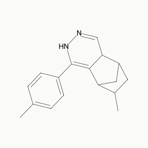 Cc1ccc(C2=C3C(C=NN2)C2CC(C)C3C2)cc1